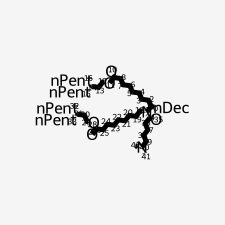 CCCCCCCCCCC(CCCCCCCC(=O)OCCC(CCCCC)CCCCC)N(CCCCCCCCC(=O)OCCC(CCCCC)CCCCC)C(=O)CCCCN(C)C